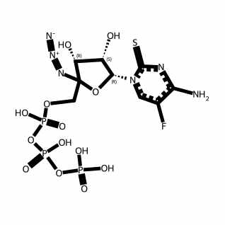 [N-]=[N+]=NC1(COP(=O)(O)OP(=O)(O)OP(=O)(O)O)O[C@@H](n2cc(F)c(N)nc2=S)[C@@H](O)[C@H]1O